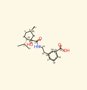 CC(C)[C@@H]1CC[C@@H](C)C[C@@]1(O)C(=O)NCCc1cccc(C(=O)O)c1